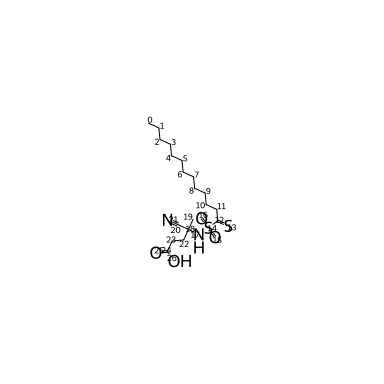 CCCCCCCCCCCCC(=S)S(=O)(=O)NC(C)(C#N)CCC(=O)O